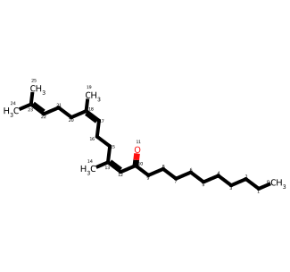 CCCCCCCCCCC(=O)C=C(C)CCC=C(C)CCC=C(C)C